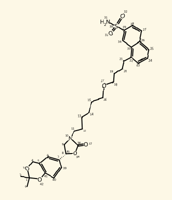 CC1(C)OCc2cc([C@@H]3CN(CCCCCCOCCCCc4cccc5ccc(S(N)(=O)=O)cc45)C(=O)O3)ccc2O1